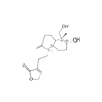 C=C1CCC2[C@](C)(CO)[C@H](O)CC[C@@]2(C)[C@@H]1CCC1=CCOC1=O